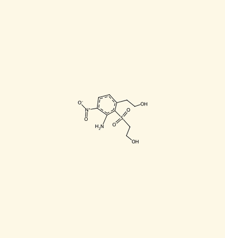 Nc1c([N+](=O)[O-])ccc(CCO)c1S(=O)(=O)CCO